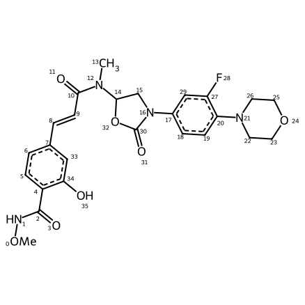 CONC(=O)c1ccc(C=CC(=O)N(C)C2CN(c3ccc(N4CCOCC4)c(F)c3)C(=O)O2)cc1O